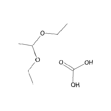 CCOC(C)OCC.O=C(O)O